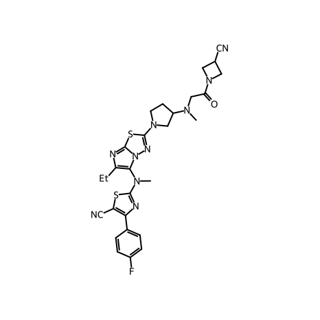 CCc1nc2sc(N3CCC(N(C)CC(=O)N4CC(C#N)C4)C3)nn2c1N(C)c1nc(-c2ccc(F)cc2)c(C#N)s1